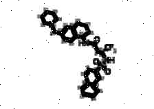 O=C(C[C@@H](NS(=O)(=O)c1ccc2ccccc2c1)C(F)(F)F)NC1CCCc2cc(CN3CCCCC3)ccc21